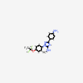 N#CNc1nc(-c2ccc(N)cc2)nn1-c1ccc(OC(F)(F)C(F)(F)F)cc1